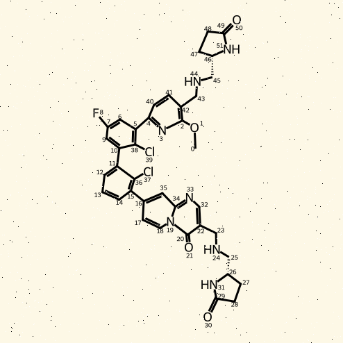 COc1nc(-c2cc(F)cc(-c3cccc(-c4ccn5c(=O)c(CNC[C@@H]6CCC(=O)N6)cnc5c4)c3Cl)c2Cl)ccc1CNC[C@@H]1CCC(=O)N1